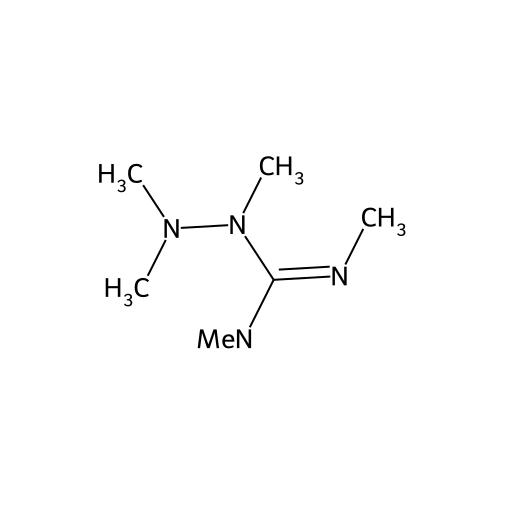 CN=C(NC)N(C)N(C)C